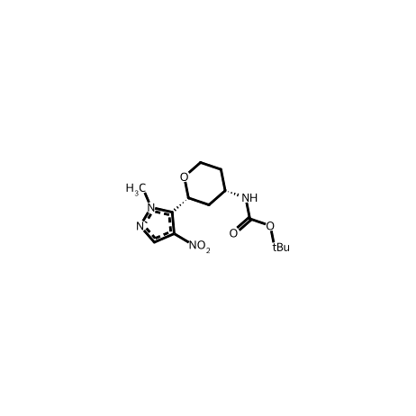 Cn1ncc([N+](=O)[O-])c1[C@H]1C[C@@H](NC(=O)OC(C)(C)C)CCO1